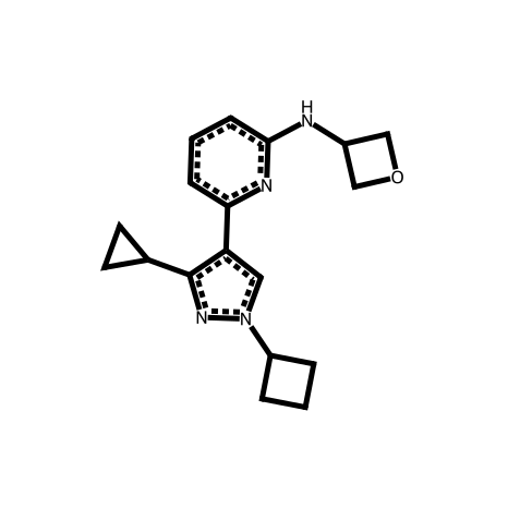 c1cc(NC2COC2)nc(-c2cn(C3CCC3)nc2C2CC2)c1